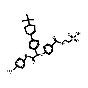 Bc1ccc(NC(=O)C(Cc2ccc(C(=O)NCCS(=O)(=O)O)cc2)c2ccc(C3=CCC(C(C)(C)C)CC3)cc2)cc1